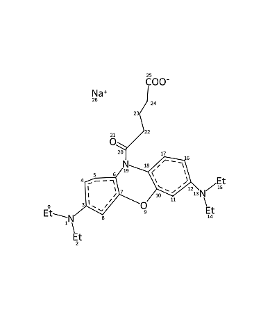 CCN(CC)c1ccc2c(c1)Oc1cc(N(CC)CC)ccc1N2C(=O)CCCC(=O)[O-].[Na+]